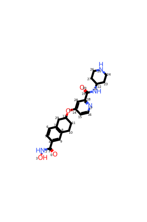 O=C(NO)c1ccc2c(c1)CCC(Oc1ccnc(C(=O)NC3CCNCC3)c1)C2